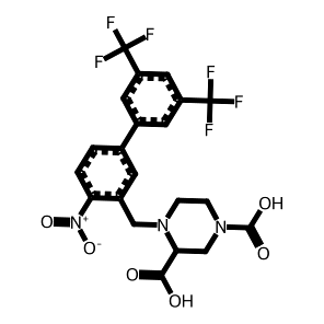 O=C(O)C1CN(C(=O)O)CCN1Cc1cc(-c2cc(C(F)(F)F)cc(C(F)(F)F)c2)ccc1[N+](=O)[O-]